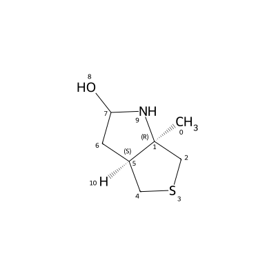 C[C@]12CSC[C@H]1CC(O)N2